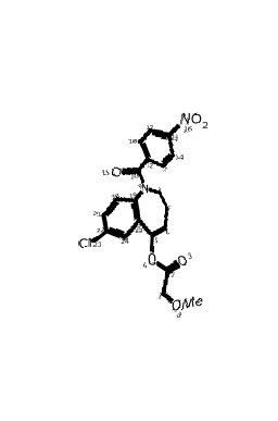 COCC(=O)OC1CCCN(C(=O)c2ccc([N+](=O)[O-])cc2)c2ccc(Cl)cc21